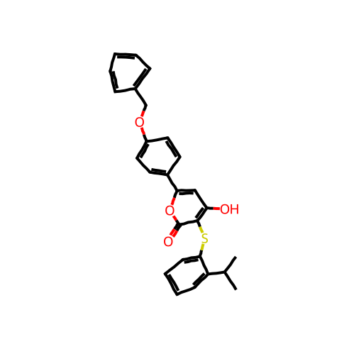 CC(C)c1ccccc1Sc1c(O)cc(-c2ccc(OCc3ccccc3)cc2)oc1=O